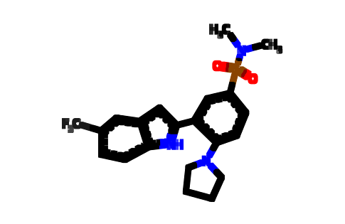 CN(C)S(=O)(=O)c1ccc(N2CCCC2)c(-c2cc3cc(C(F)(F)F)ccc3[nH]2)c1